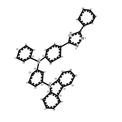 c1ccc(-c2nnc(-c3ccc(N(c4ccccc4)c4cccc(-n5c6ccccc6c6ccccc65)c4)cc3)o2)cc1